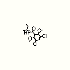 CCC(C)PC(=O)c1c(OC)c(Cl)cc(Cl)c1OC